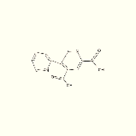 O=C(O)c1cc(C(=O)O)c(-c2ccccn2)[c]n1